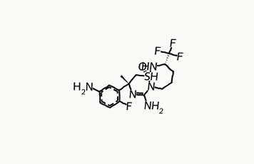 C[C@@]1(c2cc(N)ccc2F)C[SH]2(=O)N[C@H](C(F)(F)F)CCCN2C(N)=N1